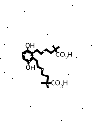 CC(C)(CCCCCc1c(O)ccc(O)c1CCCCC(C)(C)C(=O)O)C(=O)O